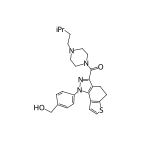 CC(C)CCN1CCN(C(=O)c2nn(-c3ccc(CO)cc3)c3c2CCc2sccc2-3)CC1